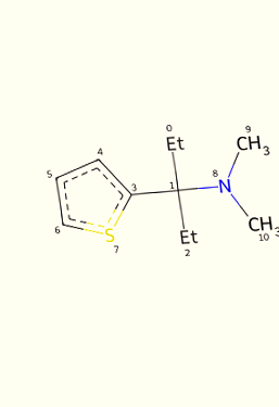 [CH2]CC(C[CH2])(c1cccs1)N(C)C